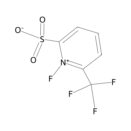 O=S(=O)([O-])c1cccc(C(F)(F)F)[n+]1F